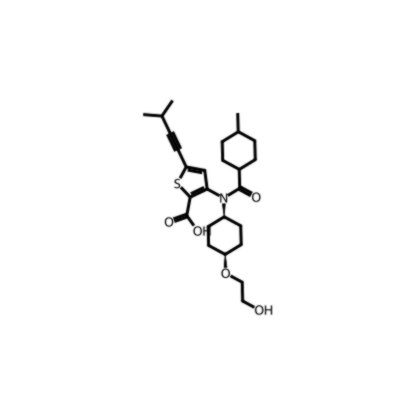 CC(C)C#Cc1cc(N(C(=O)C2CCC(C)CC2)[C@H]2CC[C@@H](OCCO)CC2)c(C(=O)O)s1